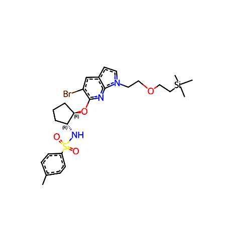 Cc1ccc(S(=O)(=O)N[C@@H]2CCC[C@H]2Oc2nc3c(ccn3CCOCC[Si](C)(C)C)cc2Br)cc1